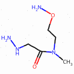 CN(CCON)C(=O)CNN